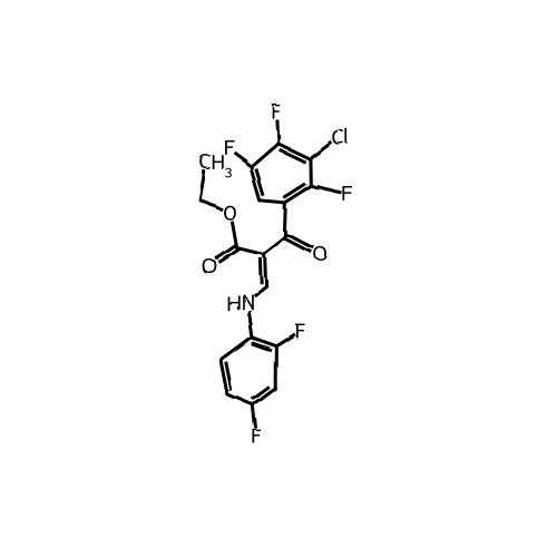 CCOC(=O)C(=CNc1ccc(F)cc1F)C(=O)c1cc(F)c(F)c(Cl)c1F